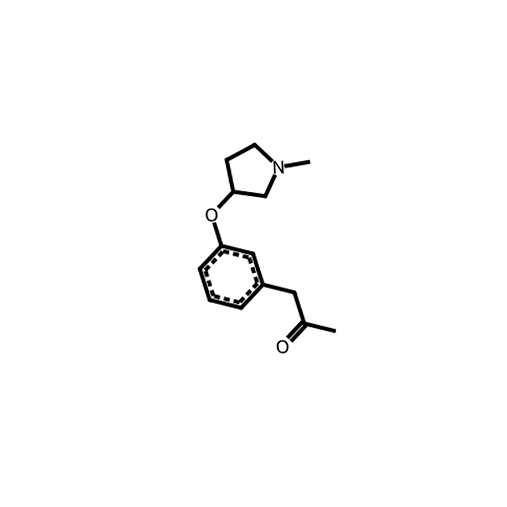 CC(=O)Cc1cccc(OC2CCN(C)C2)c1